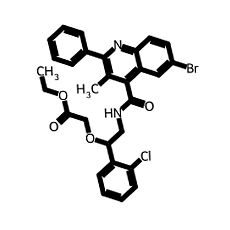 CCOC(=O)COC(CNC(=O)c1c(C)c(-c2ccccc2)nc2ccc(Br)cc12)c1ccccc1Cl